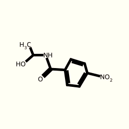 CC(O)NC(=O)c1ccc([N+](=O)[O-])cc1